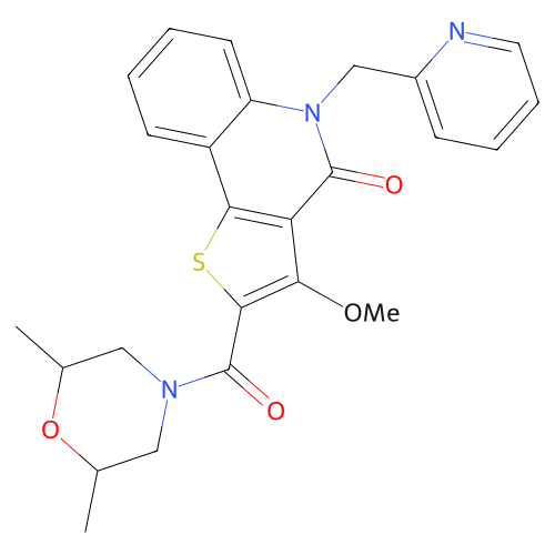 COc1c(C(=O)N2CC(C)OC(C)C2)sc2c1c(=O)n(Cc1ccccn1)c1ccccc21